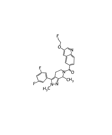 CC1c2nn(C)c(-c3cc(F)cc(F)c3)c2CCN1C(=O)c1ccc2ncc(OCCF)cc2c1